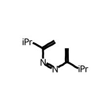 C=C(/N=N\C(=C)C(C)C)C(C)C